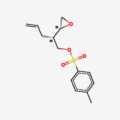 C=CC[C@@H](COS(=O)(=O)c1ccc(C)cc1)[C@@H]1CO1